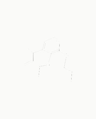 C=C[C](C)c1cccc(OCCC)c1OCC